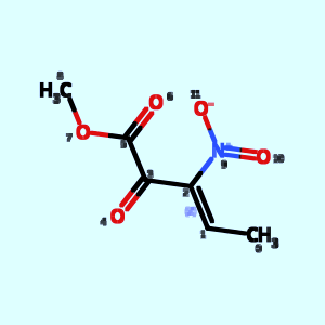 C/C=C(/C(=O)C(=O)OC)[N+](=O)[O-]